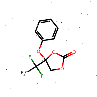 O=C1OCC(Oc2ccccc2)(C(F)(F)C(F)(F)F)O1